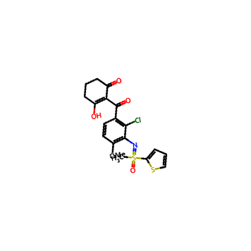 COc1ccc(C(=O)C2=C(O)CCCC2=O)c(Cl)c1N=S(C)(=O)c1cccs1